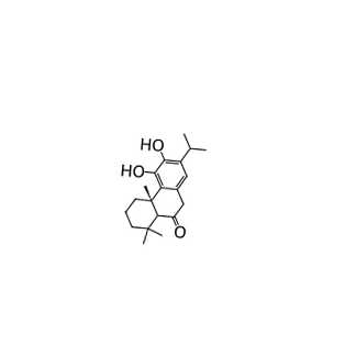 CC(C)c1cc2c(c(O)c1O)[C@@]1(C)CCCC(C)(C)C1C(=O)C2